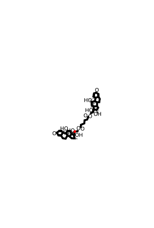 C[C@@H]1CC2C3CCC4=CC(=O)C=C[C@]4(C)[C@@]3(F)[C@@H](O)C[C@]2(C)[C@@]1(O)C(O)COC(=O)CCCCC(=O)OCC(O)[C@@]1(O)[C@H](C)CC2C3CCC4=CC(=O)C=C[C@]4(C)[C@@]3(F)[C@@H](O)C[C@@]21C